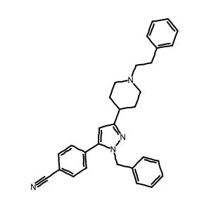 N#Cc1ccc(-c2cc(C3CCN(CCc4ccccc4)CC3)nn2Cc2ccccc2)cc1